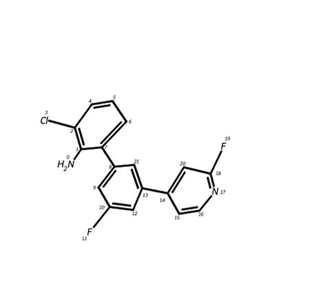 Nc1c(Cl)cccc1-c1cc(F)cc(-c2ccnc(F)c2)c1